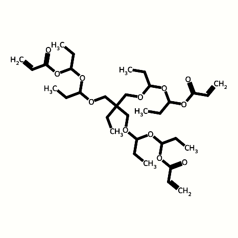 C=CC(=O)OC(CC)OC(CC)OCC(CC)(COC(CC)OC(CC)OC(=O)C=C)COC(CC)OC(CC)OC(=O)C=C